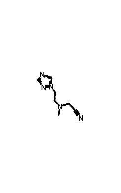 CN(CC#N)CCn1cncn1